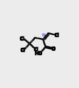 O=C(O)/C(=C\Cl)CC(Cl)(Cl)Cl